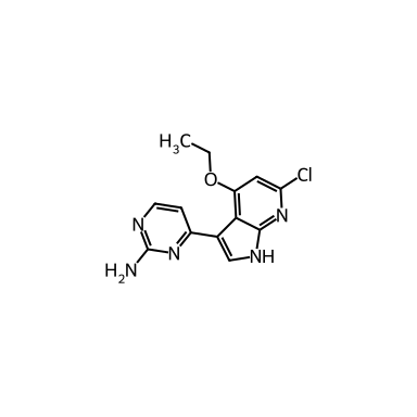 CCOc1cc(Cl)nc2[nH]cc(-c3ccnc(N)n3)c12